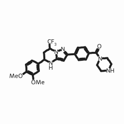 COc1ccc(C2CC(C(F)(F)F)n3nc(-c4ccc(C(=O)N5CCNCC5)cc4)cc3N2)cc1OC